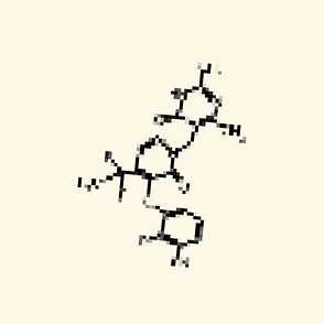 Cc1nc(C)c(Cn2cnc(C(F)(F)C(F)(F)F)c(Oc3cccc(C#N)c3F)c2=O)c(=O)[nH]1